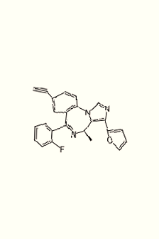 C#Cc1ccc2c(c1)C(c1ccccc1F)=N[C@H](C)c1c(-c3ccco3)ncn1-2